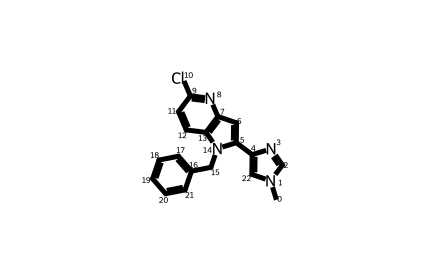 Cn1cnc(-c2cc3nc(Cl)ccc3n2Cc2ccccc2)c1